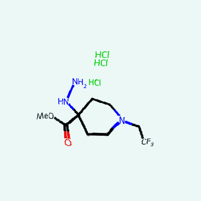 COC(=O)C1(NN)CCN(CC(F)(F)F)CC1.Cl.Cl.Cl